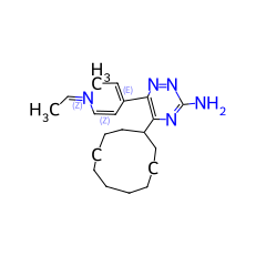 C\C=N/C=C\C(=C/C)c1nnc(N)nc1C1CCCCCCCCC1